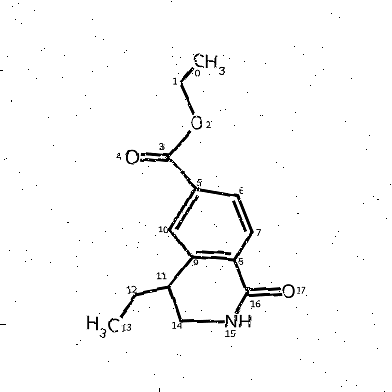 CCOC(=O)c1ccc2c(c1)C(CC)CNC2=O